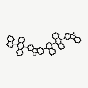 c1ccc2c(-c3c4ccccc4c(-c4ccc5c(c4)oc4ccc(-c6ccc(-c7c8ccccc8c(-c8ccc9sc%10ccccc%10c9c8)c8ccccc78)c7ccccc67)cc45)c4ccccc34)cccc2c1